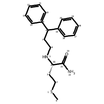 CSCC[C@H](NCCC(c1ccccc1)c1ccccc1)C(N)=O